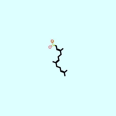 CC(C)=CCCC(C)=CCCC(C)=CC[SH](=O)=O